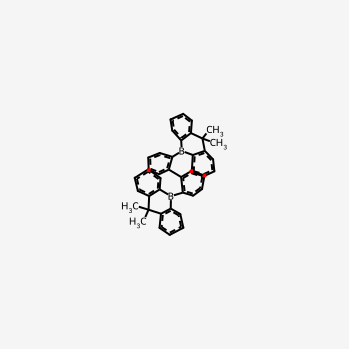 CC1(C)c2ccccc2B(c2ccccc2-c2ccccc2B2c3ccccc3C(C)(C)c3ccccc32)c2ccccc21